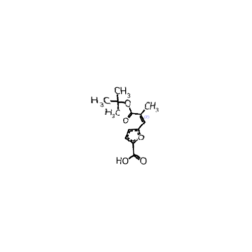 C/C(=C/c1ccc(C(=O)O)o1)C(=O)OC(C)(C)C